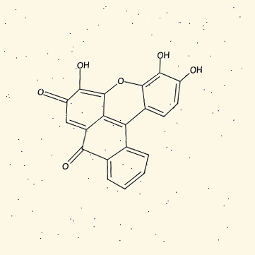 O=c1cc2c(=O)c3ccccc3c3c4ccc(O)c(O)c4oc(c1O)c23